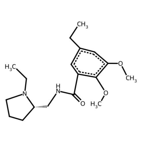 CCc1cc(OC)c(OC)c(C(=O)NC[C@@H]2CCCN2CC)c1